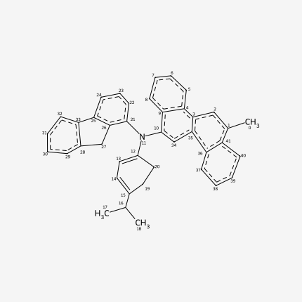 Cc1cc2c3ccccc3c(N(C3=CC=C(C(C)C)CC3)c3cccc4c3Cc3ccccc3-4)cc2c2ccccc12